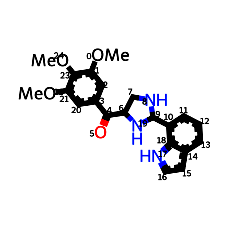 COc1cc(C(=O)C2CNC(c3cccc4cc[nH]c34)N2)cc(OC)c1OC